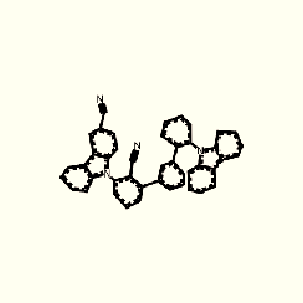 N#Cc1ccc2c(c1)c1ccccc1n2-c1cccc(-c2cccc(-c3ccccc3-n3c4ccccc4c4ccccc43)c2)c1C#N